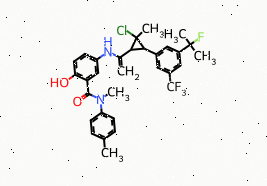 C=C(Nc1ccc(O)c(C(=O)N(C)c2ccc(C)cc2)c1)C1C(c2cc(C(C)(C)F)cc(C(F)(F)F)c2)C1(C)Cl